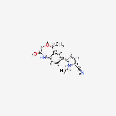 CC1OCC(=O)Nc2ccc(-c3ccc(C#N)n3C)cc21